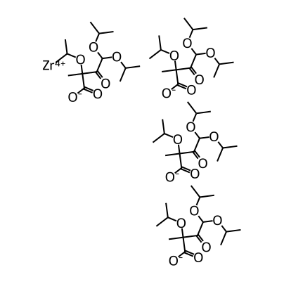 CC(C)OC(OC(C)C)C(=O)C(C)(OC(C)C)C(=O)[O-].CC(C)OC(OC(C)C)C(=O)C(C)(OC(C)C)C(=O)[O-].CC(C)OC(OC(C)C)C(=O)C(C)(OC(C)C)C(=O)[O-].CC(C)OC(OC(C)C)C(=O)C(C)(OC(C)C)C(=O)[O-].[Zr+4]